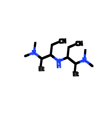 CCC(C(CC#N)NC(CC#N)C(CC)N(C)C)N(C)C